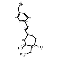 O=C(O)CC1C(O)CCC(/C=C/c2ccc(CO)cc2)CC1O